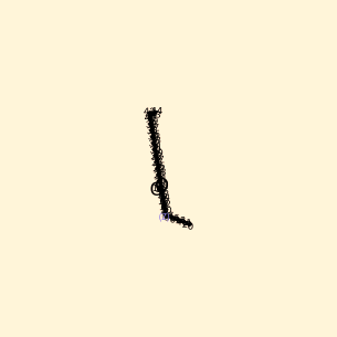 CCCCCCCC/C=C\CCCCCCCC(=O)OCCCCCCCCCCCCCCCCCCCCCC(C)CC